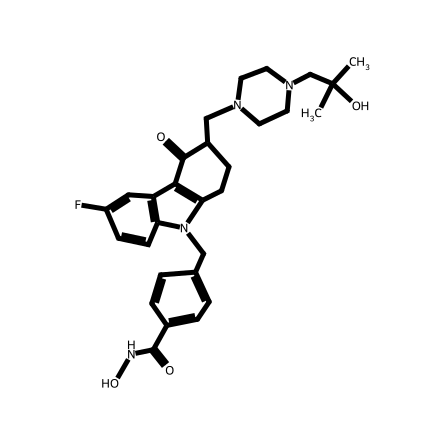 CC(C)(O)CN1CCN(CC2CCc3c(c4cc(F)ccc4n3Cc3ccc(C(=O)NO)cc3)C2=O)CC1